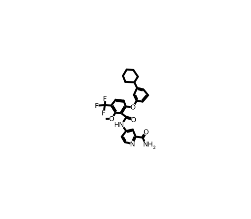 COc1c(C(F)(F)F)ccc(Oc2cccc(C3CCCCC3)c2)c1C(=O)Nc1ccnc(C(N)=O)c1